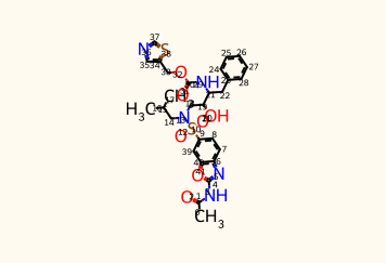 CC(=O)Nc1nc2ccc(S(=O)(=O)N(CC(C)C)CC(O)C(Cc3ccccc3)NC(=O)OCc3cncs3)cc2o1